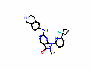 CC(C)n1c(=O)c2cnc(Nc3ccc4c(c3)CCNC4)nc2n1-c1cccc(C2(F)CCC2)n1